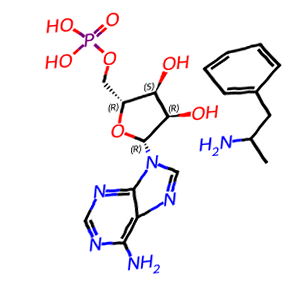 CC(N)Cc1ccccc1.Nc1ncnc2c1ncn2[C@@H]1O[C@H](COP(=O)(O)O)[C@@H](O)[C@H]1O